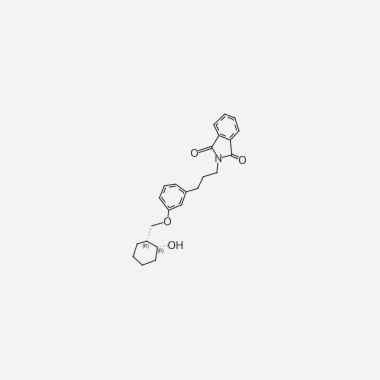 O=C1c2ccccc2C(=O)N1CCCc1cccc(OC[C@H]2CCCC[C@H]2O)c1